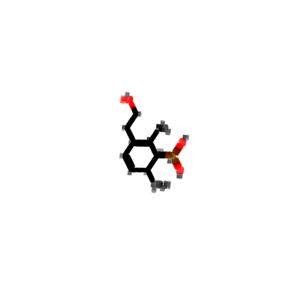 O=C(O)C1C=CC(CCO)=C([N+](=O)[O-])C1=S(=O)=O